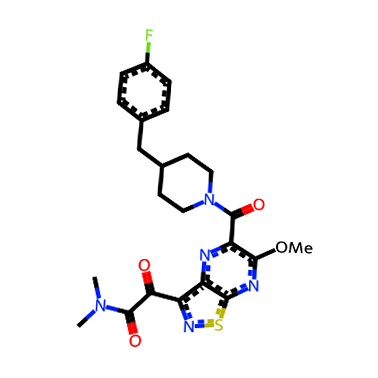 COc1nc2snc(C(=O)C(=O)N(C)C)c2nc1C(=O)N1CCC(Cc2ccc(F)cc2)CC1